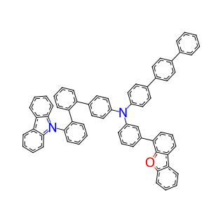 c1ccc(-c2ccc(-c3ccc(N(c4ccc(-c5ccccc5-c5ccccc5-n5c6ccccc6c6ccccc65)cc4)c4cccc(-c5cccc6c5oc5ccccc56)c4)cc3)cc2)cc1